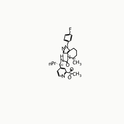 CCC[C@H](NC(=O)N1c2cnn(-c3ccc(F)cc3)c2CCC[C@@H]1C)c1ccnc(S(C)(=O)=O)c1